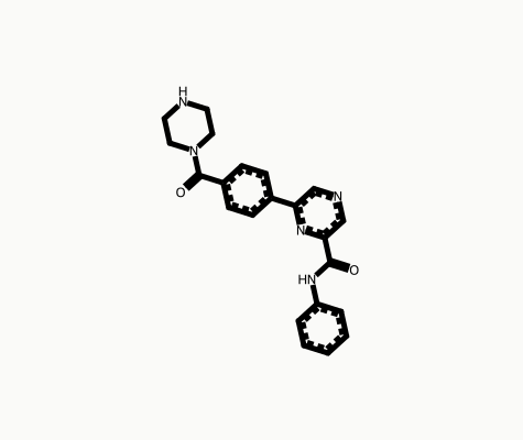 O=C(Nc1ccccc1)c1cncc(-c2ccc(C(=O)N3CCNCC3)cc2)n1